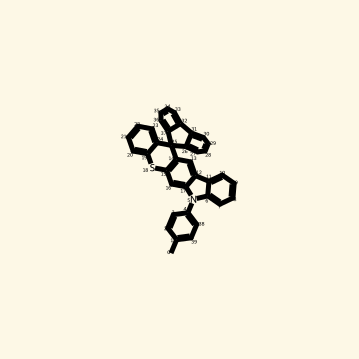 Cc1ccc(-n2c3ccccc3c3cc4c(cc32)Sc2ccccc2C42c3ccccc3-c3ccccc32)cc1